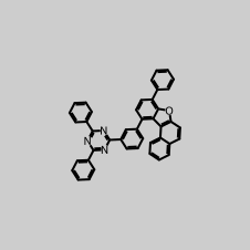 c1ccc(-c2nc(-c3ccccc3)nc(-c3cccc(-c4ccc(-c5ccccc5)c5oc6ccc7ccccc7c6c45)c3)n2)cc1